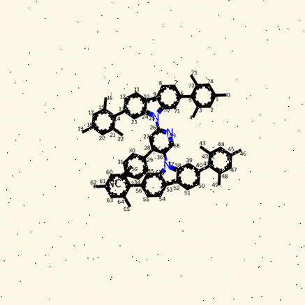 Cc1cc(C)c(-c2ccc3c4ccc(-c5c(C)cc(C)cc5C)cc4n(-c4cc(-c5ccc(C#N)cc5)c(-n5c6cc(-c7c(C)cc(C)cc7C)ccc6c6ccc(-c7c(C)cc(C)cc7C)cc65)cn4)c3c2)c(C)c1